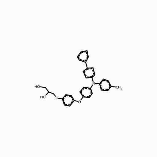 Cc1ccc(N(c2ccc(Oc3ccc(OCC(O)CO)cc3)cc2)c2ccc(-c3ccccc3)cc2)cc1